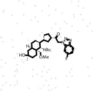 CCCC[C@H]1[C@H]([C@@H]2CC[C@H](C(=O)Cn3nnc4ccc(F)cc43)C2)CC[C@@H]2C[C@](C)(O)CC[C@@]21COC